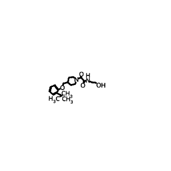 CC(C)(C)c1ccccc1OCC1CCN(C(=O)C(=O)NCCO)CC1